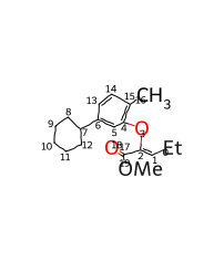 CC/C=C(\Oc1cc(C2CCCCC2)ccc1C)C(=O)OC